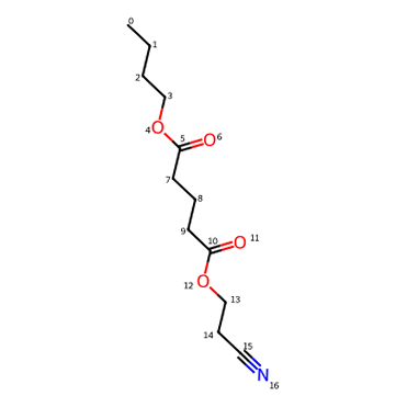 CCCCOC(=O)CCCC(=O)OCCC#N